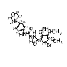 COc1c(Br)cc(C(=O)NNC(=S)Nc2ccc(N3CCOCC3)cc2)c(OC)c1OC